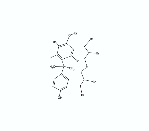 BrCC(Br)COCC(Br)CBr.CC(C)(c1ccc(O)cc1)c1c(Br)cc(OBr)c(Br)c1Br